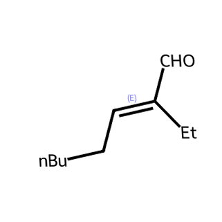 CCCCC/C=C(/C=O)CC